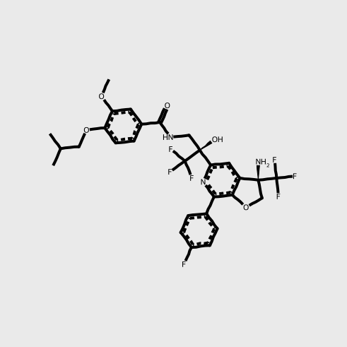 COc1cc(C(=O)NC[C@](O)(c2cc3c(c(-c4ccc(F)cc4)n2)OC[C@@]3(N)C(F)(F)F)C(F)(F)F)ccc1OCC(C)C